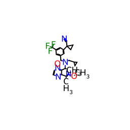 CON=C(C)c1nccnc1C(C)N(CC1CC1)C(=O)c1cc(C(F)(F)F)cc(C2(C#N)CC2)c1